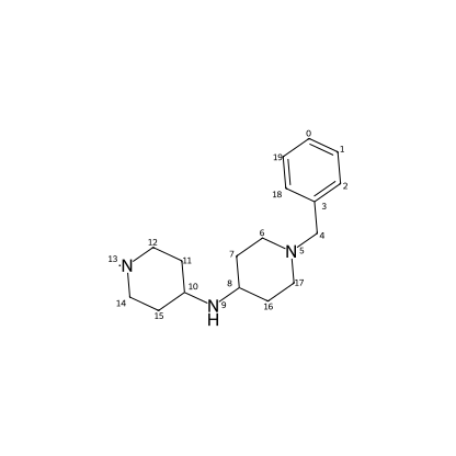 c1ccc(CN2CCC(NC3CC[N]CC3)CC2)cc1